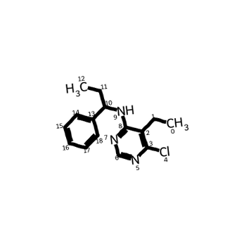 CCc1c(Cl)ncnc1NC(CC)c1ccccc1